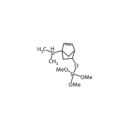 CO[Si](OC)(OC)OC1CC2([SiH](C)C)C=CC1C2